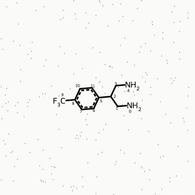 NCC(CN)c1ccc(C(F)(F)F)cc1